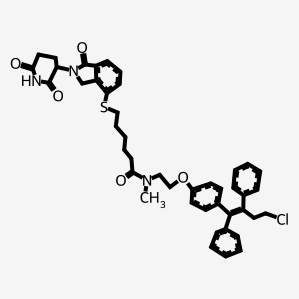 CN(CCOc1ccc(/C(=C(/CCCl)c2ccccc2)c2ccccc2)cc1)C(=O)CCCCCSc1cccc2c1CN(C1CCC(=O)NC1=O)C2=O